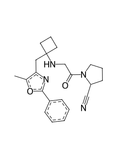 Cc1oc(-c2ccccc2)nc1CC1(NCC(=O)N2CCCC2C#N)CCC1